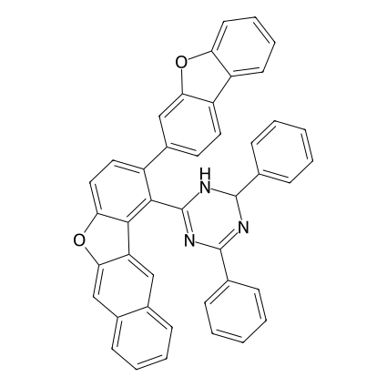 c1ccc(C2=NC(c3ccccc3)NC(c3c(-c4ccc5c(c4)oc4ccccc45)ccc4oc5cc6ccccc6cc5c34)=N2)cc1